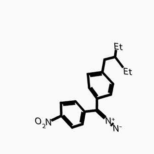 CCC(CC)Cc1ccc(C(=[N+]=[N-])c2ccc([N+](=O)[O-])cc2)cc1